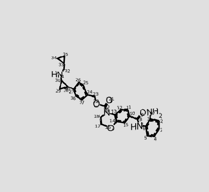 Nc1ccccc1NC(=O)c1ccc2c(c1)OCCN2C(=O)OCc1ccc([C@H]2CC2NCC2CC2)cc1